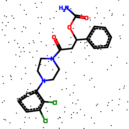 NC(=O)OC(CC(=O)N1CCN(c2cccc(Cl)c2Cl)CC1)c1ccccc1